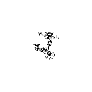 Cc1ccc(N(CCCN2CC3CN(C(=O)c4c(C)cccc4C)CC3C2)C(=O)OC2CCN(C(=O)C3CC3)CC2)cc1Cl